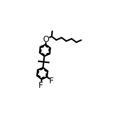 CCCCCCC(C)Oc1ccc(C(C)(C)c2ccc(F)c(F)c2)cc1